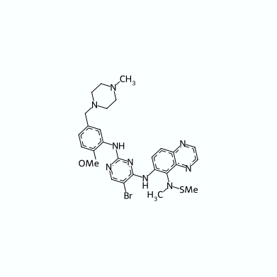 COc1ccc(CN2CCN(C)CC2)cc1Nc1ncc(Br)c(Nc2ccc3nccnc3c2N(C)SC)n1